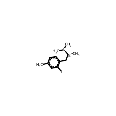 Cc1ccc(C[C@@H](C)N(C)C)c(I)c1